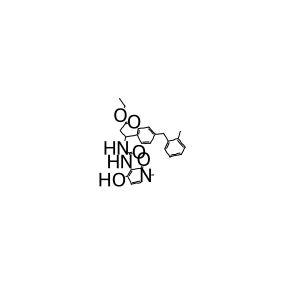 CCOC(=O)CC(NC(=O)Nc1c(O)ccn(C)c1=O)c1ccc(Cc2ccccc2C)cc1